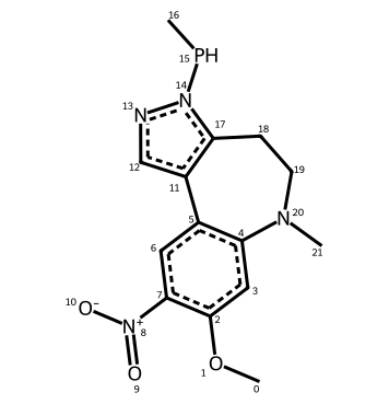 COc1cc2c(cc1[N+](=O)[O-])-c1cnn(PC)c1CCN2C